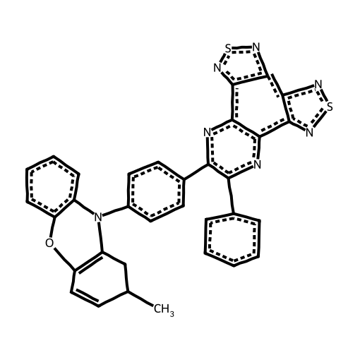 CC1C=CC2=C(C1)N(c1ccc(-c3nc4c5nsnc5c5nsnc5c4nc3-c3ccccc3)cc1)c1ccccc1O2